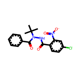 CC(C)(C)N(NC(=O)c1ccc(Cl)cc1[N+](=O)[O-])C(=O)c1ccccc1